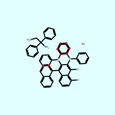 Clc1cccc2c(-c3cccc4ccccc34)c(P(c3ccccc3)c3ccccc3)c(P(c3ccccc3)c3ccccc3)c(Cl)c12.NCC(N)(c1ccccc1)c1ccccc1.[Ru]